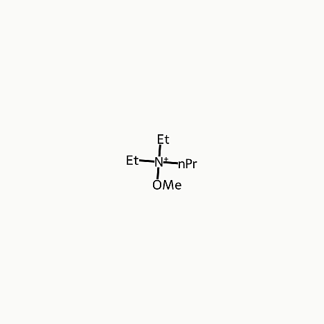 CCC[N+](CC)(CC)OC